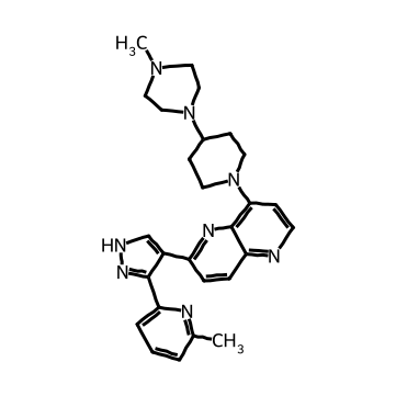 Cc1cccc(-c2n[nH]cc2-c2ccc3nccc(N4CCC(N5CCN(C)CC5)CC4)c3n2)n1